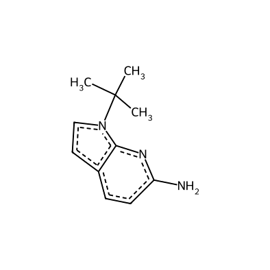 CC(C)(C)n1ccc2ccc(N)nc21